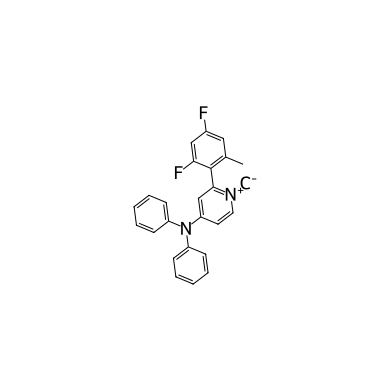 [CH2-][n+]1ccc(N(c2ccccc2)c2ccccc2)cc1-c1c(C)cc(F)cc1F